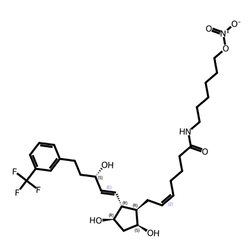 O=C(CCC/C=C\C[C@@H]1[C@@H](/C=C/[C@@H](O)CCc2cccc(C(F)(F)F)c2)[C@H](O)C[C@@H]1O)NCCCCCCO[N+](=O)[O-]